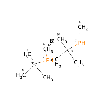 CPC(C)(C)C.CPC(C)(C)C.[B]